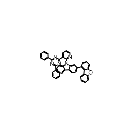 c1ccc(-c2nc(-c3ccccc3)nc(-c3cccnc3-n3c4ccccc4c4ccc(-c5cccc6oc7ccccc7c56)cc43)n2)cc1